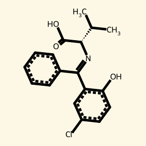 CC(C)[C@H](N=C(c1ccccc1)c1cc(Cl)ccc1O)C(=O)O